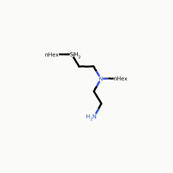 CCCCCC[SiH2]CCN(CCN)CCCCCC